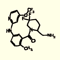 Cc1ccc(Nc2cc(OC(F)(F)F)ccn2)cc1C(=O)N1CC(F)(F)CCC1CN